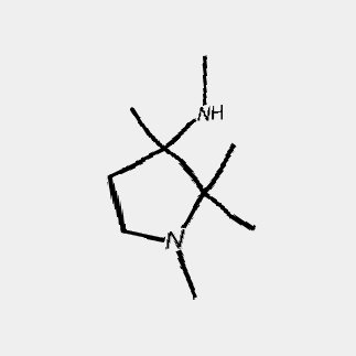 CNC1(C)CCN(C)C1(C)C